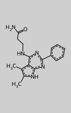 Cc1[nH]c2nc(-c3ccccc3)nc(NCCC(N)=O)c2c1C